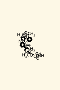 C=[N+](c1cccc(OC(F)F)c1[C@H]1CCc2nc3ccc(-c4cnc(C(C)(C)OCOP(=O)(O)O)nc4)cc3n21)S(C)(=O)=O